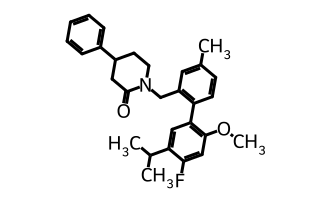 COc1cc(F)c(C(C)C)cc1-c1ccc(C)cc1CN1CCC(c2ccccc2)CC1=O